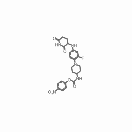 O=C1CCC(Nc2ccc(N3CCC(NC(=O)Oc4ccc([N+](=O)[O-])cc4)CC3)c(F)c2)C(=O)N1